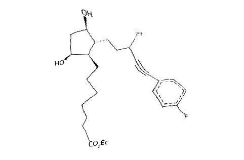 CCOC(=O)CCCCCC[C@@H]1[C@@H](CCC(C#Cc2ccc(F)cc2)CC)[C@H](O)C[C@@H]1O